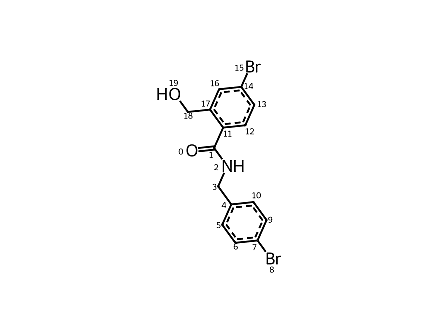 O=C(NCc1ccc(Br)cc1)c1ccc(Br)cc1CO